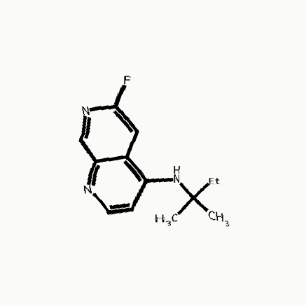 CCC(C)(C)Nc1ccnc2cnc(F)cc12